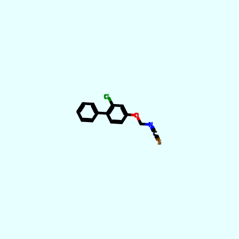 S=C=NCOc1ccc(-c2ccccc2)c(Cl)c1